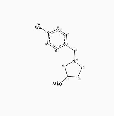 COC1CCN(Cc2ccc(C(C)(C)C)cc2)C1